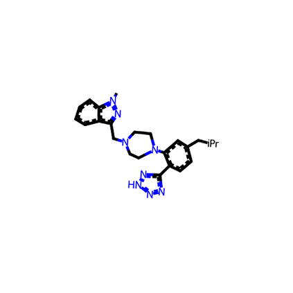 CC(C)Cc1ccc(-c2nn[nH]n2)c(N2CCN(Cc3nn(C)c4ccccc34)CC2)c1